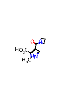 Cn1ncc(C(=O)N2CCC2)c1C(=O)O